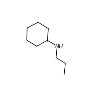 CCCN[C]1CCCCC1